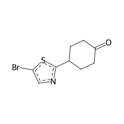 O=C1CCC(c2ncc(Br)s2)CC1